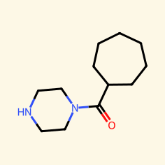 O=C(C1CCCCCC1)N1CCNCC1